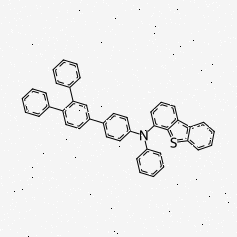 c1ccc(-c2ccc(-c3ccc(N(c4ccccc4)c4cccc5c4sc4ccccc45)cc3)cc2-c2ccccc2)cc1